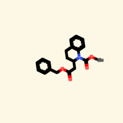 CC(C)(C)OC(=O)N1c2ccccc2CCC1CC(=O)OCc1ccccc1